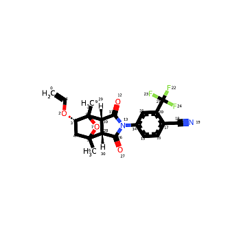 C=CO[C@H]1CC2(C)OC1(C)[C@@H]1C(=O)N(c3ccc(C#N)c(C(F)(F)F)c3)C(=O)[C@@H]12